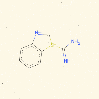 N=C(N)[SH]1C=Nc2ccccc21